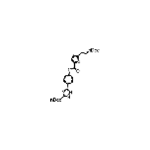 CCCCCCCCCCCCc1ccc(C(=O)Oc2ccc(-c3nnc(CCCCCCCCCC)s3)cc2)s1